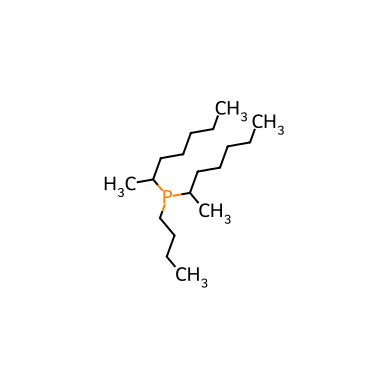 CCCCCC(C)P(CCCC)C(C)CCCCC